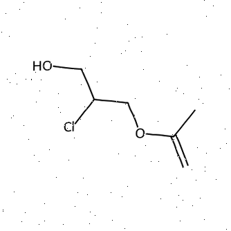 C=C(C)OCC(Cl)CO